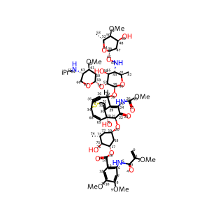 C=C(OC)C(=O)Nc1cc(OC)c(OC)cc1C(=O)O[C@H]1C[C@H](O[C@@H]2C(=O)C(NC(=O)OC)=C3/C4=C\CSC(C#C[C@@H]3O[C@@H]3O[C@H](C)[C@@H](NO[C@H]5C[C@H](O)[C@H](OC)[C@@H](C)O5)[C@H](O)[C@H]3O[C@H]3C[C@H](OC)[C@@H](NC(C)C)CO3)/C=C\[C@@]42O)C[C@@H](C)[C@@H]1O